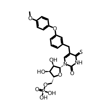 COc1ccc(Oc2cccc(Cc3cn([C@@H]4O[C@H](COP(=O)(O)O)[C@@H](O)[C@H]4O)c(=O)[nH]c3=S)c2)cc1